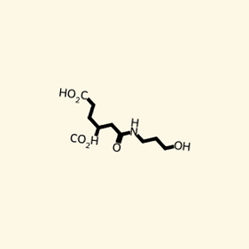 O=C(O)CCC(CC(=O)NCCCO)C(=O)O